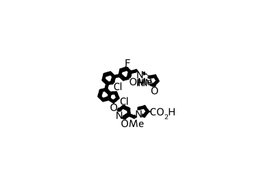 COc1cc(-c2cccc(-c3cccc4c3CC[C@@H]4Oc3nc(OC)c(CN4CC[C@@H](C(=O)O)C4)cc3Cl)c2Cl)cc(F)c1CNC[C@@H]1CCC(=O)N1